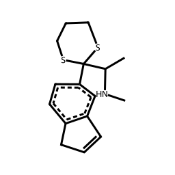 CNC(C)C1(c2ccc3c(c2)C=CC3)SCCCS1